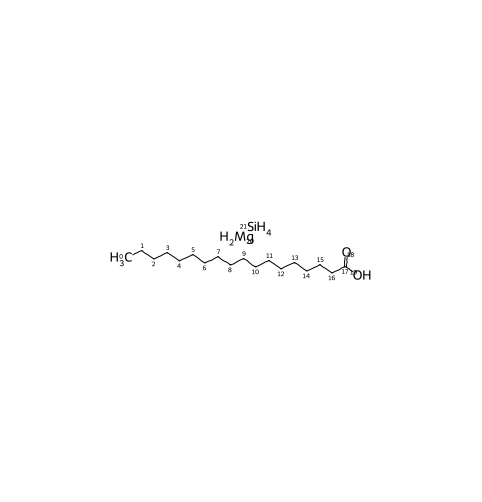 CCCCCCCCCCCCCCCCCC(=O)O.[MgH2].[SiH4]